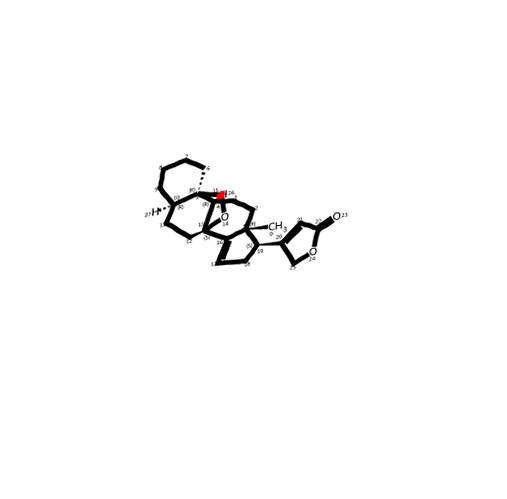 C[C@]12CC[C@@H]3[C@@]45CCCC[C@@H]4CC[C@@]3(OC5)C1=CC[C@@H]2C1=CC(=O)OC1